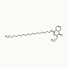 CCCCCCCCCCCCCCCCCCOC(=O)C1CC=CCC1C(=O)OCC